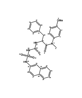 COc1ccc(N(C)C(=O)C(Cc2ccccc2)NC(=O)NS(=O)(=O)Nc2ccc3ccccc3c2)cc1